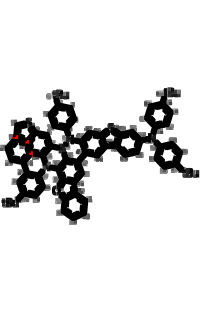 CC(C)(C)c1ccc(N2B3c4cc5sccc5cc4N(c4ccc(C(C)(C)C)cc4-c4ccccc4)c4c3c(cc3c4oc4ccccc43)-c3cc4c(cc32)sc2cc(N(c3ccc(C(C)(C)C)cc3)c3ccc(C(C)(C)C)cc3)ccc24)cc1